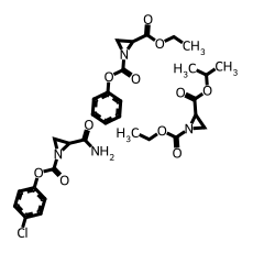 CCOC(=O)C1CN1C(=O)Oc1ccccc1.CCOC(=O)N1CC1C(=O)OC(C)C.NC(=O)C1CN1C(=O)Oc1ccc(Cl)cc1